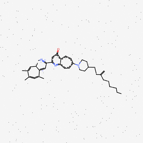 C=C(CCCCCC)CCC1CCN(c2ccc3nc(C(/C=C4/C(C)=C=C(C)C(C)=CC4C)=N/C)cc(=O)c-3cc2)CC1